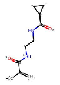 C=C(C)C(=O)NCCNC(=O)C1CC1